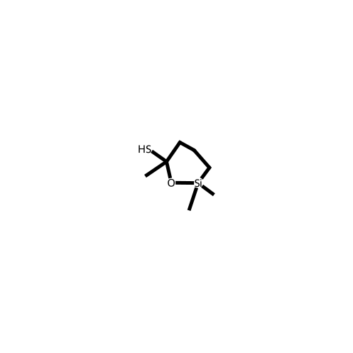 CC1(S)CCC[Si](C)(C)O1